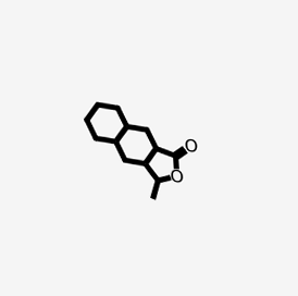 CC1OC(=O)C2CC3CCCCC3CC12